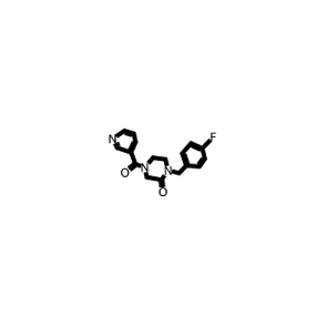 O=C1CN(C(=O)c2cccnc2)CCN1Cc1ccc(F)cc1